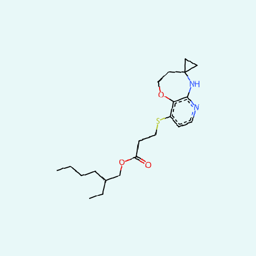 CCCCC(CC)COC(=O)CCSc1ccnc2c1OCCC1(CC1)N2